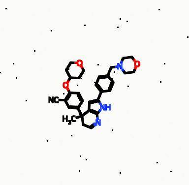 CC1(c2ccc(OC3CCOCC3)c(C#N)c2)CC=Nc2[nH]c(-c3ccc(CN4CCOCC4)cc3)cc21